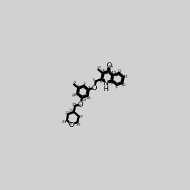 Cc1cc(OCc2[nH]c3ccccc3c(=O)c2C)cc(OCC2CCOCC2)c1